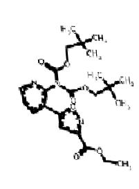 CCOC(=O)c1cc(-c2cccnc2N(C(=O)OCC(C)(C)C)C(=O)OCC(C)(C)C)on1